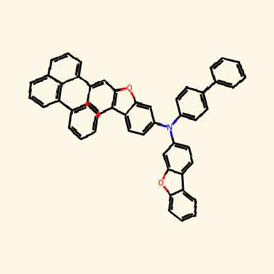 c1ccc(-c2ccc(N(c3ccc4c(c3)oc3ccccc34)c3ccc4c(c3)oc3cc(-c5cccc6cccc(-c7ccccc7)c56)ccc34)cc2)cc1